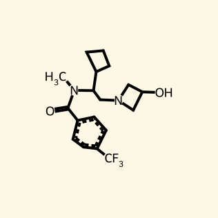 CN(C(=O)c1ccc(C(F)(F)F)cc1)C(CN1CC(O)C1)C1CCC1